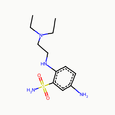 CCN(CC)CCNc1ccc(N)cc1S(N)(=O)=O